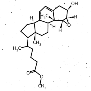 COC(=O)CCCC(C)[C@H]1CC[C@H]2C3=CC=C4C[C@@H](O)[C@@H]5O[C@@H]5[C@]4(C)[C@H]3CC[C@]12C